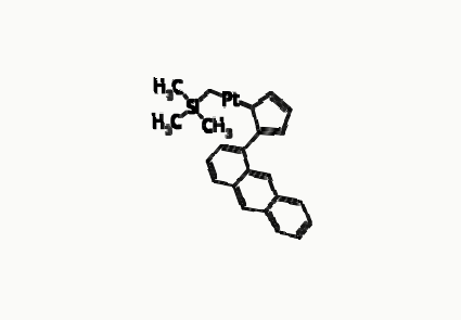 C[Si](C)(C)[CH2][Pt][CH]1C=CC=C1c1cccc2cc3ccccc3cc12